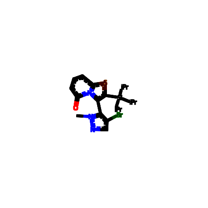 CC(C)[Si](c1sc2cccc(=O)n2c1-c1c(Br)cnn1C)(C(C)C)C(C)C